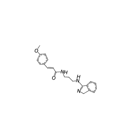 COc1ccc(/C=C/C(=O)NCCCNC2=NCc3ccccc32)cc1